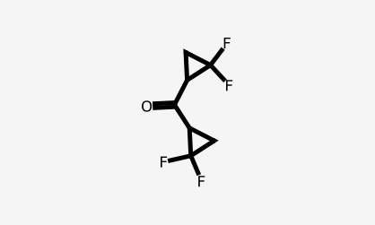 O=C(C1CC1(F)F)C1CC1(F)F